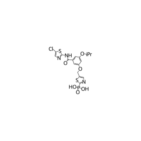 CC(C)Oc1cc(OCc2cnc(P(=O)(O)O)s2)cc(C(=O)Nc2ncc(Cl)s2)c1